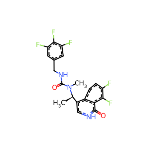 C[C@H](c1c[nH]c(=O)c2c(F)c(F)ccc12)N(C)C(=O)NCc1cc(F)c(F)c(F)c1